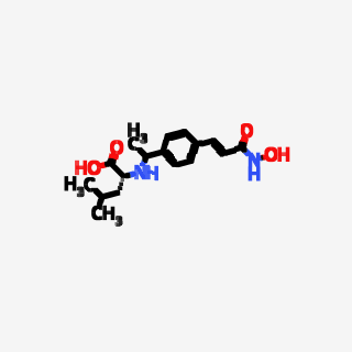 CC(C)C[C@@H](NC(C)c1ccc(/C=C/C(=O)NO)cc1)C(=O)O